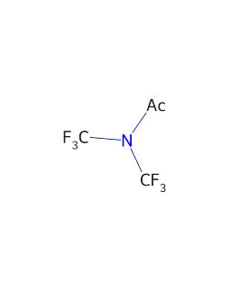 CC(=O)N(C(F)(F)F)C(F)(F)F